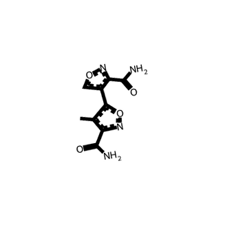 Cc1c(C(N)=O)noc1-c1conc1C(N)=O